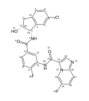 O=C(N[C@H]1c2cc(Cl)ccc2C[C@H]1O)c1ccc(F)c(NC(=O)c2cnc3ccc(F)cn23)c1